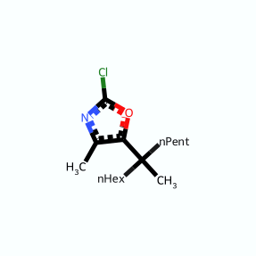 CCCCCCC(C)(CCCCC)c1oc(Cl)nc1C